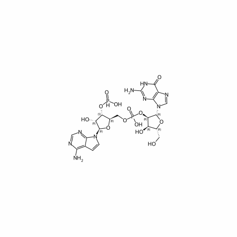 Nc1nc2c(ncn2[C@@H]2O[C@H](CO)[C@@H](O)[C@H]2OP(=O)(O)OC[C@H]2O[C@@H](n3ccc4c(N)ncnc43)[C@H](O)[C@@H]2O[PH](=O)O)c(=O)[nH]1